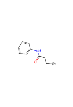 CC(C)CCC(=O)Nc1c[c]ccc1